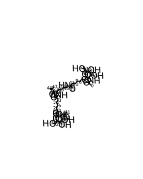 CC(=O)NC1C(OCCCCCC(=O)NCCCCC(NC(=O)CCCCCOC2OC(CO)C(O)C(O)C2NC(C)=O)C(=O)C(C)C)OC(CO)C(O)C1O